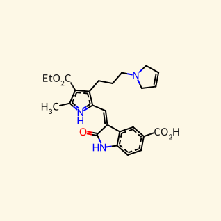 CCOC(=O)c1c(C)[nH]c(C=C2C(=O)Nc3ccc(C(=O)O)cc32)c1CCCN1CC=CC1